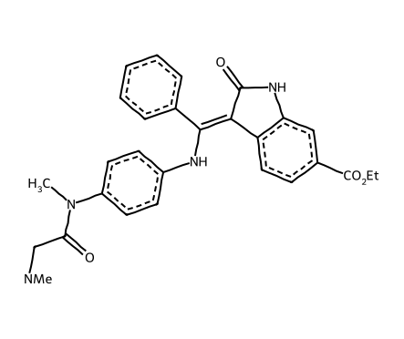 CCOC(=O)c1ccc2c(c1)NC(=O)C2=C(Nc1ccc(N(C)C(=O)CNC)cc1)c1ccccc1